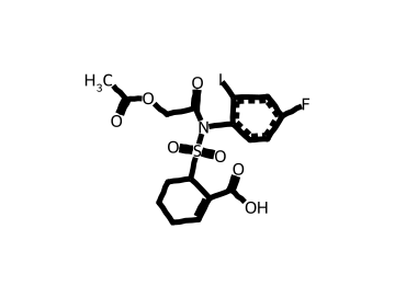 CC(=O)OCC(=O)N(c1ccc(F)cc1I)S(=O)(=O)C1CCCC=C1C(=O)O